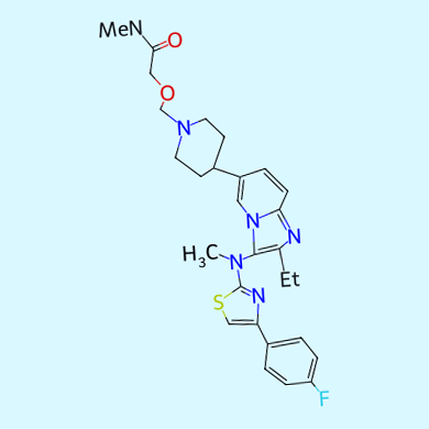 CCc1nc2ccc(C3CCN(COCC(=O)NC)CC3)cn2c1N(C)c1nc(-c2ccc(F)cc2)cs1